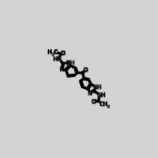 CC(=O)Nc1nc2ccc(C(=O)c3ccc4nc(NC(C)=O)[nH]c4c3)cc2[nH]1